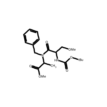 COCC(NC(=O)OC(C)(C)C)C(=O)N(Cc1ccccc1)C(C)C(=O)OC